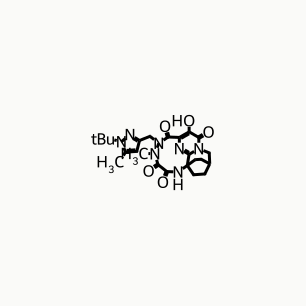 Cc1cc(CN2C(=O)c3nc4n(c(=O)c3O)CC3CCC4(CC3)NC(=O)C(=O)N2C)nn1C(C)(C)C